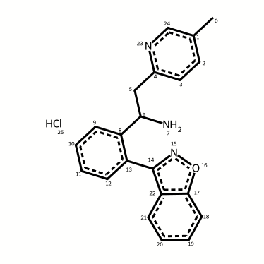 Cc1ccc(CC(N)c2ccccc2-c2noc3ccccc23)nc1.Cl